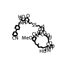 COc1cc2cc(c1Cl)N(C)C(=O)C[C@@H](OC(=O)CN(C)C(=O)CCSSCCc1cc(=O)c(O)c(C(=O)NCc3ccc(-c4ccc(C#N)cc4)cc3)o1)[C@]1(C)O[C@H]1[C@@H](C)C1C[C@](O)(NC(=O)O1)[C@@H](CO)/C=C/C=C(\C)C2